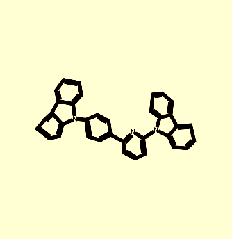 c1cc(-c2ccc(-n3c4ccccc4c4ccccc43)cc2)nc(-n2c3ccccc3c3ccccc32)c1